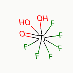 [O]=[Ti]([OH])([OH])([F])([F])([F])([F])([F])[F]